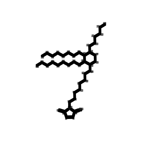 C=C1C=CC(=O)N1CCCCCCCCC1CCC(CCCCCC)C(CCCCCCCC)C1CCCCCCCCC